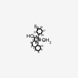 O.OC1=C2C=Cc3ccccc3N2[N]N1c1cccc(F)c1